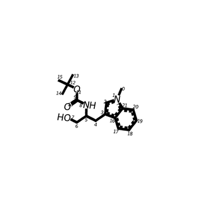 Cn1cc(CC(CO)NC(=O)OC(C)(C)C)c2ccccc21